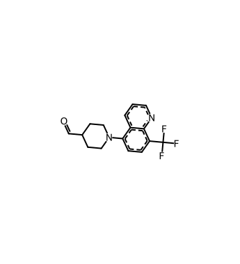 O=CC1CCN(c2ccc(C(F)(F)F)c3ncccc23)CC1